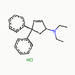 CCN(CC)C1C=CC(c2ccccc2)(c2ccccc2)C1.Cl